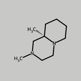 CN1CCN2CCCC[C@]2(C)C1